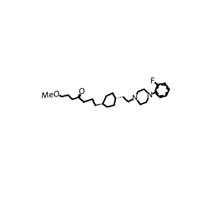 COCCCC(=O)CCC[C@H]1CC[C@H](CCN2CCN(c3ccccc3F)CC2)CC1